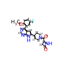 COc1ccc(F)cc1-c1ncnc2[nH]c(C3=CCN(C(=O)C4CC(=O)N4)CC3)cc12